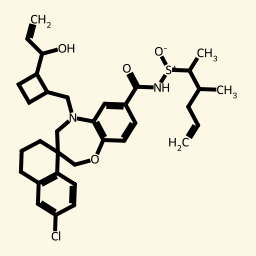 C=CCC(C)C(C)[S+]([O-])NC(=O)c1ccc2c(c1)N(CC1CCC1C(O)C=C)CC1(CCCc3cc(Cl)ccc31)CO2